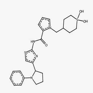 O=C(Nc1nc(C2CCCN2c2ccccc2)cs1)c1cccn1CC1CCS(O)(O)CC1